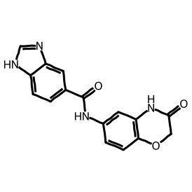 O=C1COc2ccc(NC(=O)c3ccc4[nH]cnc4c3)cc2N1